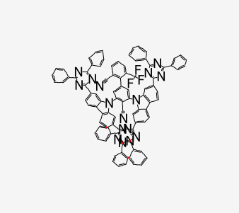 N#Cc1cccc(C(F)(F)F)c1-c1cc(-n2c3cc(-c4ncnc(-c5ccccc5)n4)ccc3c3ccc(-c4nc(-c5ccccc5)nc(-c5ccccc5)n4)cc32)c(C#N)c(-n2c3cc(-c4nc(-c5ccccc5)nc(-c5ccccc5)n4)ccc3c3ccc(-c4nc(-c5ccccc5)nc(-c5ccccc5)n4)cc32)c1